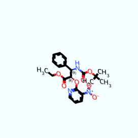 CCOC(=O)[C@H](Oc1ncccc1[N+](=O)[O-])[C@H](NC(=O)OC(C)(C)C)c1ccccc1